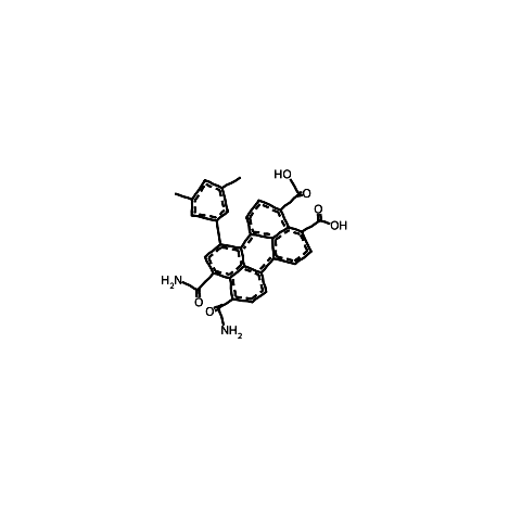 Cc1cc(C)cc(-c2cc(C(N)=O)c3c(C(N)=O)ccc4c5ccc(C(=O)O)c6c(C(=O)O)ccc(c2c34)c65)c1